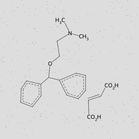 CN(C)CCOC(c1ccccc1)c1ccccc1.O=C(O)/C=C/C(=O)O